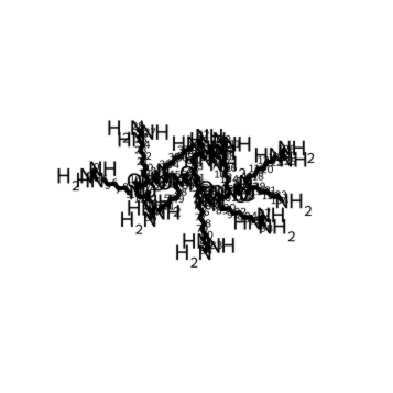 N=C(N)NCCCCCCN(CC(N)=O)C(=O)CN(CCCCCCNC(=N)N)C(=O)CN(CCCCCCNC(=N)N)C(=O)CN(CCCCCCNC(=N)N)C(=O)CN(CCCCCCNC(=N)N)C(=O)CN(CCCCCCNC(=N)N)C(=O)CN(CCCCCCNC(=N)N)C(=O)CN(CCCCCCNC(=N)N)C(=O)CN(CCCCCCNC(=N)N)C(=O)CCCCCN